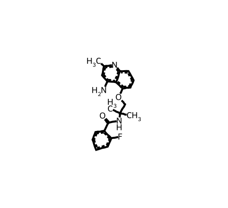 Cc1cc(N)c2c(OCC(C)(C)NC(=O)c3ccccc3F)cccc2n1